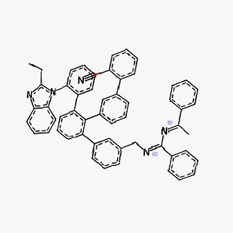 CCc1nc2ccccc2n1-c1ccccc1-c1cccc(-c2cccc(C/N=C(\N=C(/C)c3ccccc3)c3ccccc3)c2)c1-c1cccc(-c2ccccc2C#N)c1